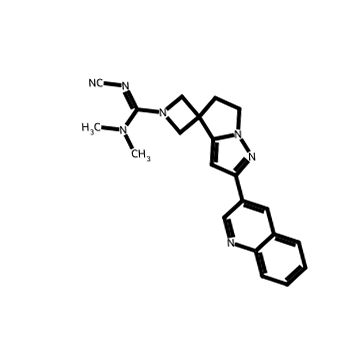 CN(C)C(=NC#N)N1CC2(CCn3nc(-c4cnc5ccccc5c4)cc32)C1